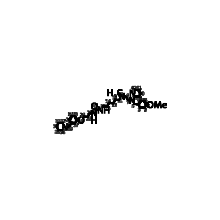 COc1ccc(CN(CCN(C)CCCCCCNC(=O)NCCCOc2cccc(CN3CCCCC3)c2)c2ccccn2)cc1